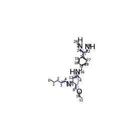 CCC/C=C/N=C(/C=C/OCC)\C=C(/C)NCc1ccc(/C(C=N)=C/NC)cc1